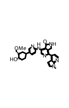 COC[C@H]1CC(c2ccc(Nc3cnc(-c4ccnc5c4ccn5C)c4c3C(=O)NC4)nc2)CC[C@@H]1O